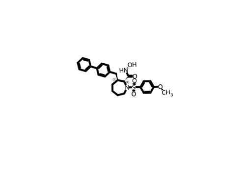 COc1ccc(S(=O)(=O)N2CCCC[C@@H](Cc3ccc(-c4ccccc4)cc3)[C@@H]2C(=O)NO)cc1